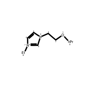 CCCOCCn1cc[n+](CC)c1